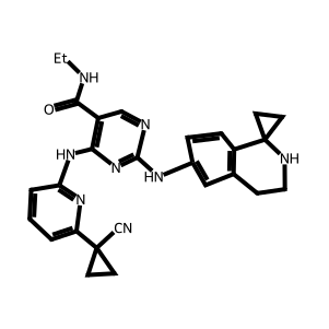 CCNC(=O)c1cnc(Nc2ccc3c(c2)CCNC32CC2)nc1Nc1cccc(C2(C#N)CC2)n1